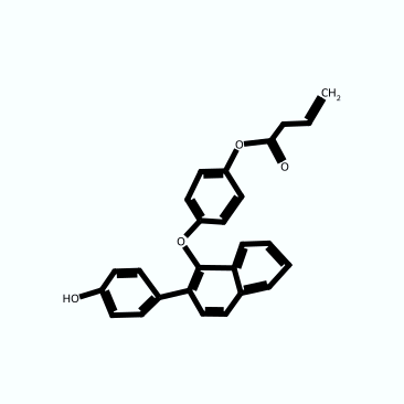 C=CCC(=O)Oc1ccc(Oc2c(-c3ccc(O)cc3)ccc3ccccc23)cc1